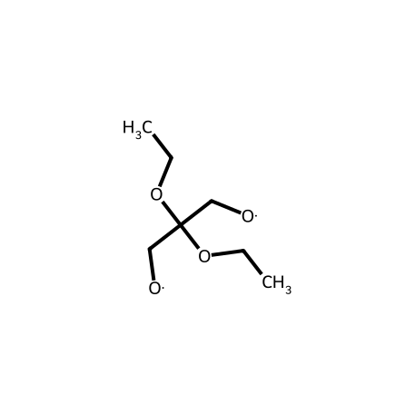 CCOC(C[O])(C[O])OCC